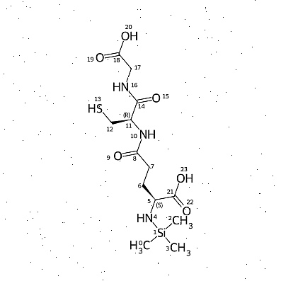 C[Si](C)(C)N[C@@H](CCC(=O)N[C@@H](CS)C(=O)NCC(=O)O)C(=O)O